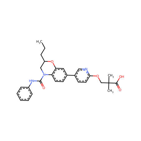 CCCC1CN(C(=O)Nc2ccccc2)c2ccc(-c3ccc(OCC(C)(C)C(=O)O)nc3)cc2O1